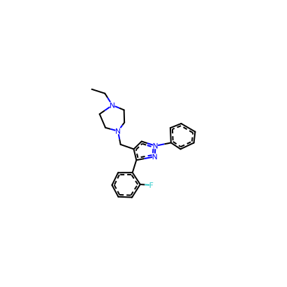 CCN1CCN(Cc2cn(-c3ccccc3)nc2-c2ccccc2F)CC1